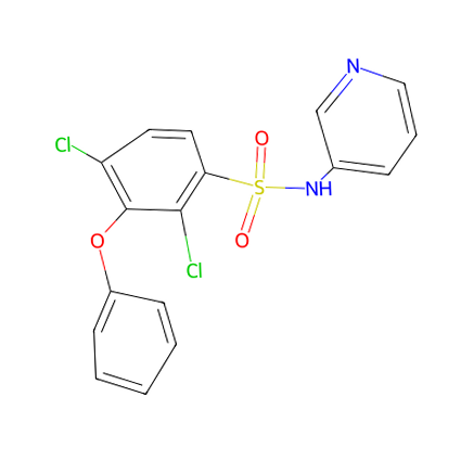 O=S(=O)(Nc1cccnc1)c1ccc(Cl)c(Oc2ccccc2)c1Cl